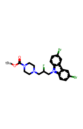 CC(C)(C)OC(=O)N1CCN(CC(F)Cn2c3ccc(Br)cc3c3cc(Br)ccc32)CC1